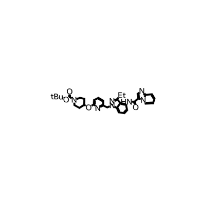 CCc1nn(Cc2cccc(OC3CCN(C(=O)OC(C)(C)C)CC3)n2)c2cccc(NC(=O)c3cnc4ccccn34)c12